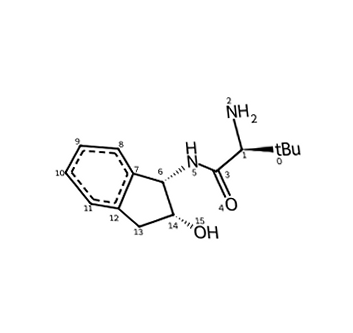 CC(C)(C)[C@H](N)C(=O)N[C@H]1c2ccccc2C[C@H]1O